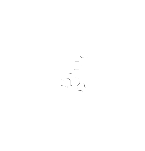 CCCn1c(=O)c2c(nc(C34CCC(C(=O)O)(CC3)CC4)n2Cc2ccccc2)n(CCC)c1=O